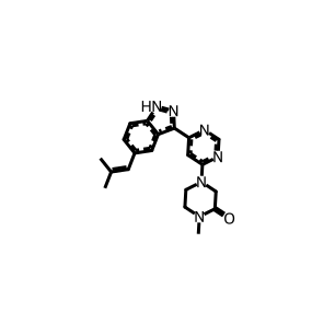 CC(C)=Cc1ccc2[nH]nc(-c3cc(N4CCN(C)C(=O)C4)ncn3)c2c1